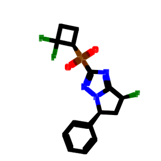 O=S(=O)(c1nc2n(n1)[C@H](c1ccccc1)C[C@@H]2F)[C@@H]1CCC1(F)F